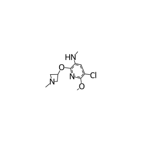 CNc1cc(Cl)c(OC)nc1OC1CN(C)C1